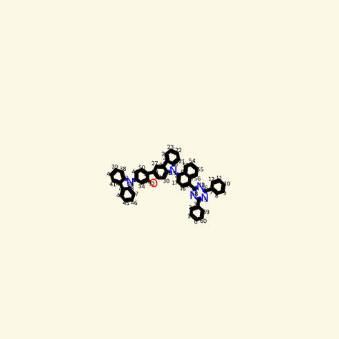 c1ccc(-c2nc(-c3ccccc3)nc(-c3ccc(-n4c5ccccc5c5cc6c(cc54)oc4cc(-n5c7ccccc7c7ccccc75)ccc46)c4ccccc34)n2)cc1